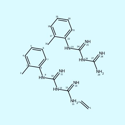 C=C.Cc1ccccc1NC(=N)NC(=N)N.Cc1ccccc1NC(=N)NC(=N)N